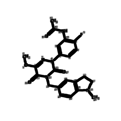 COc1nn(-c2ccc(F)c(NC(C)=O)c2)c(=O)n(Cc2ccc3c(c2)CCN3C)c1=O